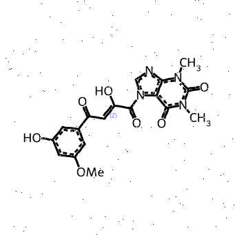 COc1cc(O)cc(C(=O)/C=C(\O)C(=O)n2cnc3c2c(=O)n(C)c(=O)n3C)c1